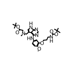 COc1ccc(Nc2ncnc3[nH]cc(CN(C)CC(=O)OC(C)(C)C)c23)cc1OCCCNC(=O)OC(C)(C)C